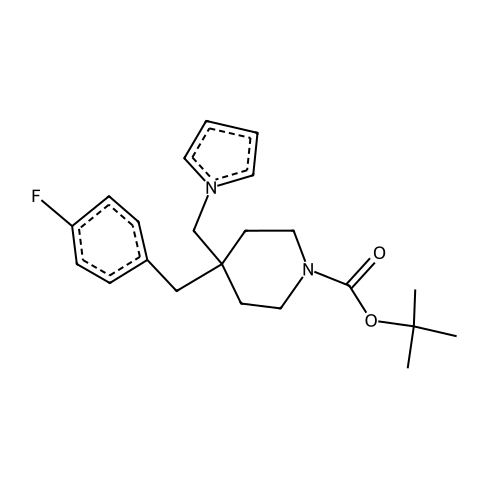 CC(C)(C)OC(=O)N1CCC(Cc2ccc(F)cc2)(Cn2cccc2)CC1